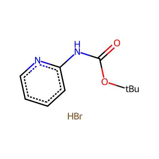 Br.CC(C)(C)OC(=O)Nc1ccccn1